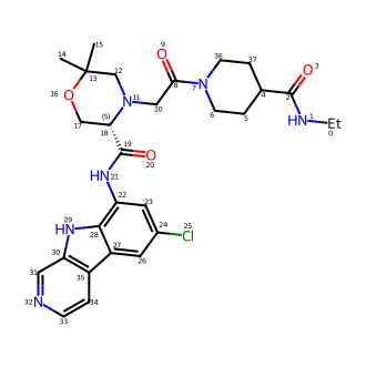 CCNC(=O)C1CCN(C(=O)CN2CC(C)(C)OC[C@H]2C(=O)Nc2cc(Cl)cc3c2[nH]c2cnccc23)CC1